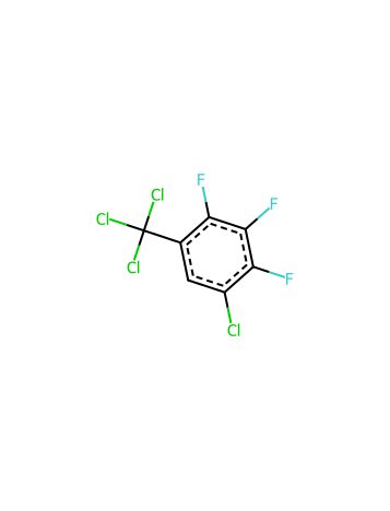 Fc1c(Cl)cc(C(Cl)(Cl)Cl)c(F)c1F